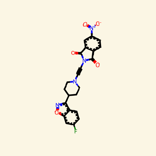 O=C1c2ccc([N+](=O)[O-])cc2C(=O)N1C#CN1CCC(c2noc3cc(F)ccc23)CC1